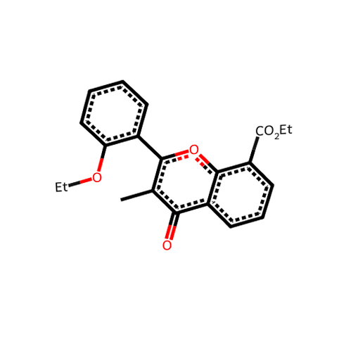 CCOC(=O)c1cccc2c(=O)c(C)c(-c3ccccc3OCC)oc12